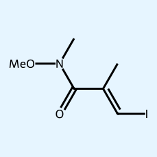 CON(C)C(=O)/C(C)=C/I